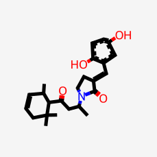 CC1C=CCC(C)(C)C1C(=O)CC(C)N1CC/C(=C\c2cc(O)ccc2O)C1=O